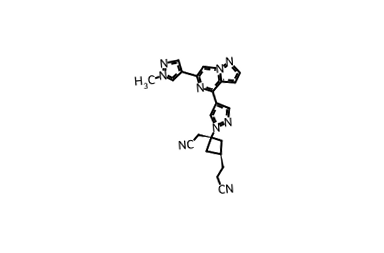 Cn1cc(-c2cn3nccc3c(-c3cnn([C@]4(CC#N)C[C@@H](CCC#N)C4)c3)n2)cn1